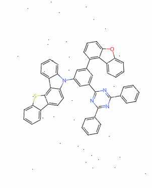 c1ccc(-c2nc(-c3ccccc3)nc(-c3cc(-c4cccc5oc6ccccc6c45)cc(-n4c5ccccc5c5c6sc7ccccc7c6ccc54)c3)n2)cc1